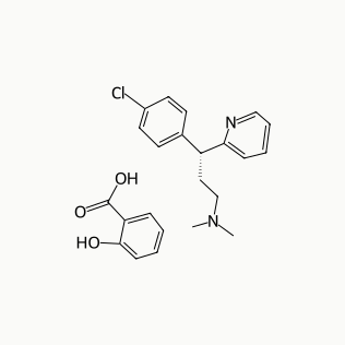 CN(C)CC[C@H](c1ccc(Cl)cc1)c1ccccn1.O=C(O)c1ccccc1O